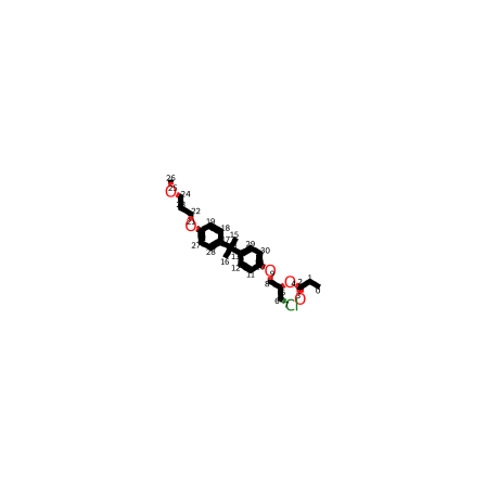 CCC(=O)OC(CCl)COc1ccc(C(C)(C)c2ccc(OCCCOC)cc2)cc1